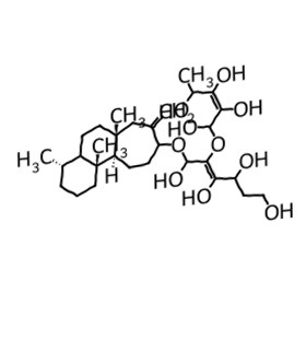 C=C1C[C@@]2(C)CCC3[C@@H](C)CCC[C@@]3(C)[C@@H]2CCC1OC(O)/C(OC(O)/C(O)=C(/O)C(C)O)=C(\O)C(O)CCO